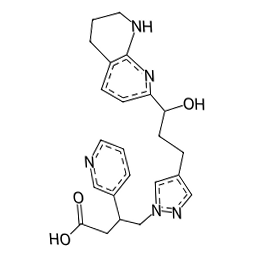 O=C(O)CC(Cn1cc(CCC(O)c2ccc3c(n2)NCCC3)cn1)c1cccnc1